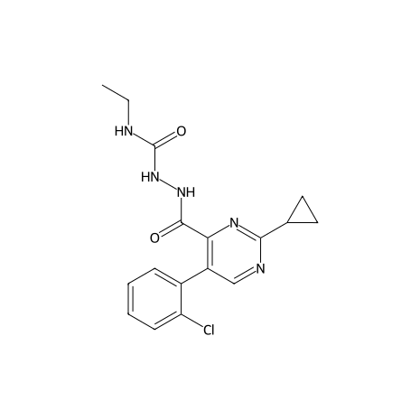 CCNC(=O)NNC(=O)c1nc(C2CC2)ncc1-c1ccccc1Cl